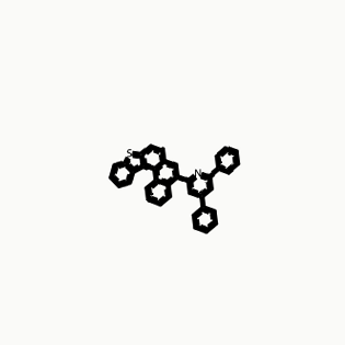 c1ccc(-c2cc(-c3ccccc3)nc(-c3cc4ccc5sc6ccccc6c5c4c4ccccc34)c2)cc1